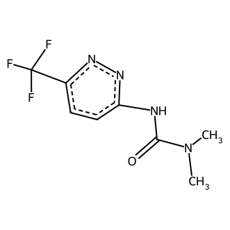 CN(C)C(=O)Nc1ccc(C(F)(F)F)nn1